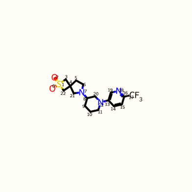 O=S1(=O)CC2(CCN(C3CCCN(c4ccc(C(F)(F)F)nc4)C3)C2)C1